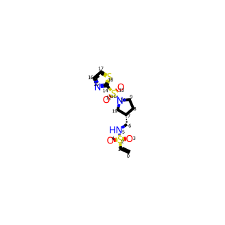 C=CS(=O)(=O)NC[C@H]1CCN(S(=O)(=O)c2nccs2)C1